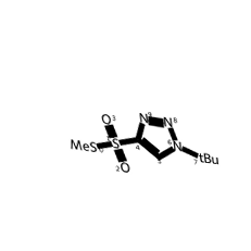 CSS(=O)(=O)c1cn(C(C)(C)C)nn1